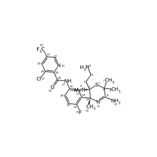 CN[C@@]1(CCN)SC(C)(C)C(N)=N[C@]1(C)c1cc(NC(=O)c2ncc(C(F)(F)F)cc2Cl)ccc1F